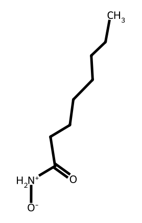 CCCCCCCC(=O)[NH2+][O-]